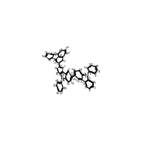 c1ccc(-n2c3ccccc3c3cc(-c4ccc5c(c4)c4cc(-c6cc7c8c(cccc8c6)-c6ccccc6-7)ccc4n5-c4ccccc4)ccc32)cc1